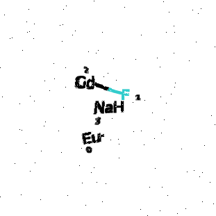 [Eu].[F][Gd].[NaH]